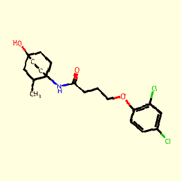 CC1CC2(O)CCC1(NC(=O)CCCOc1ccc(Cl)cc1Cl)CC2